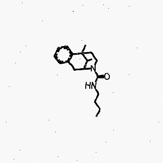 CCCCNC(=O)N1CCC2(C)c3ccccc3CC1C2C